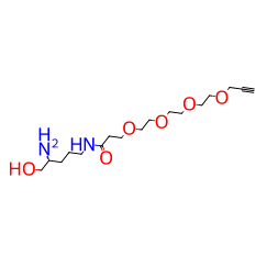 C#CCOCCOCCOCCOCCC(=O)NCCC[C@H](N)CO